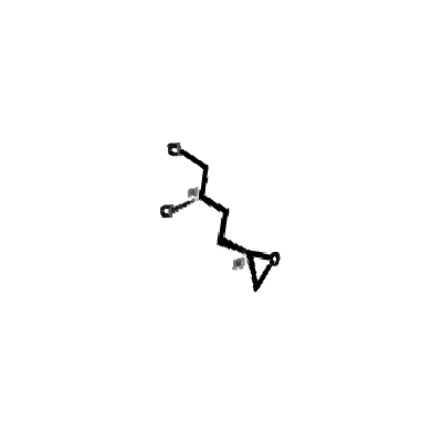 ClC[C@@H](Cl)CC[C@@H]1CO1